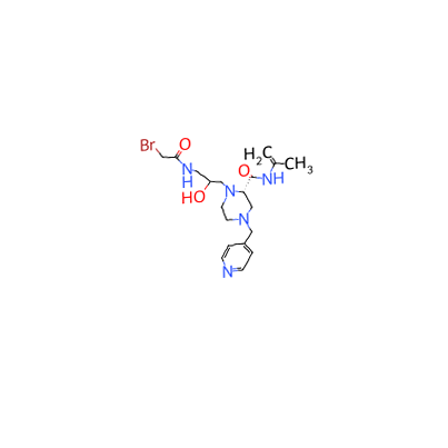 C=C(C)NC(=O)[C@@H]1CN(Cc2ccncc2)CCN1CC(O)CNC(=O)CBr